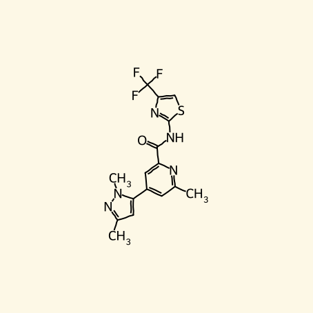 Cc1cc(-c2cc(C)nn2C)cc(C(=O)Nc2nc(C(F)(F)F)cs2)n1